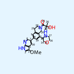 COc1c[nH]c2ncc(-c3cc4c(c([C@@H]5COCCN5)c3)CN(C(=O)C(C)(C)O)CC4)cc12